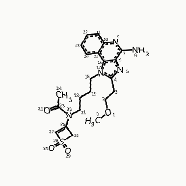 COCCc1nc2c(N)nc3ccccc3c2n1CCCCN(C(C)=O)C1=CS(=O)(=O)C1